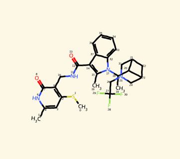 CSc1cc(C)[nH]c(=O)c1CNC(=O)c1c(C)n(C(C)C2C3CC2CN(CC(F)(F)F)C3)c2ccccc12